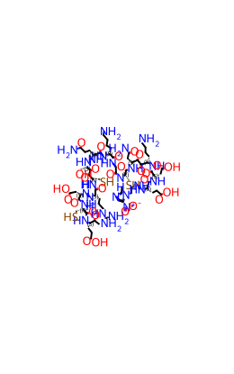 CC(=O)[C@H](CCC(=O)O)NC(=O)[C@H](CS)NC(=O)[C@H](CC(=O)O)NN[C@@H](CCCNC(N)N)C(=O)N[C@@H](CS)C(=O)C(=O)[C@H](CO)NN[C@@H](CCC(N)=O)C(=O)N[C@@H](CCCCN)C(=O)NCC(=O)N[C@@H](CS)C(=O)N[C@@H](CC(N)=O)C(=O)C(=O)[C@H](CCCCN)NC(=O)[C@H](CC(=O)O)NC(=O)[C@H](CCC(=O)O)NNCCn1c([N+](=O)[O-])cnc1C